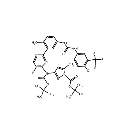 Cc1ccc(NC(=O)Nc2ccc(Cl)c(C(F)(F)F)c2)cc1-c1ncc(F)c(N(C(=O)OC(C)(C)C)c2cc(C)n(C(=O)OC(C)(C)C)n2)n1